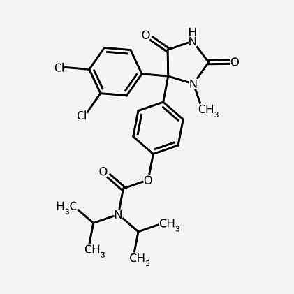 CC(C)N(C(=O)Oc1ccc(C2(c3ccc(Cl)c(Cl)c3)C(=O)NC(=O)N2C)cc1)C(C)C